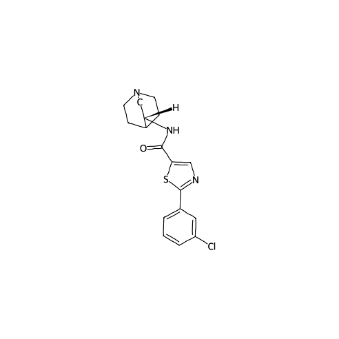 O=C(N[C@H]1CN2CCC1CC2)c1cnc(-c2cccc(Cl)c2)s1